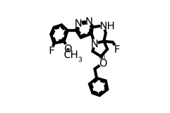 COc1c(F)cccc1-c1cc2c(nn1)NCC1(CF)C[C@@H](OCc3ccccc3)CN21